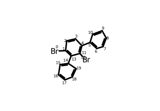 Brc1[c]cc(-c2ccccc2)c(Br)c1-c1ccccc1